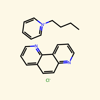 CCCC[n+]1ccccc1.[Cl-].c1cnc2c(c1)ccc1ncccc12